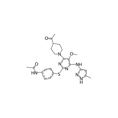 COc1c(Nc2cc(C)[nH]n2)nc(Sc2ccc(NC(C)=O)cc2)nc1N1CCC(C(C)=O)CC1